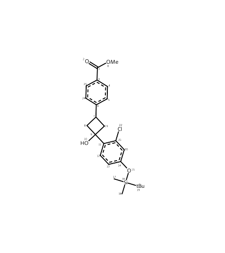 COC(=O)c1ccc(C2CC(O)(c3ccc(O[Si](C)(C)C(C)(C)C)cc3Cl)C2)cc1